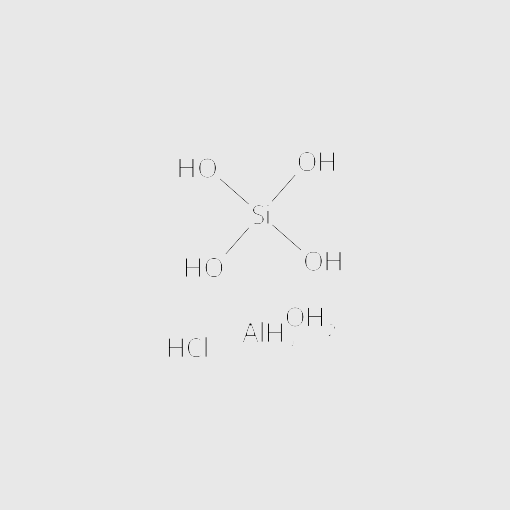 Cl.O.O[Si](O)(O)O.[AlH3]